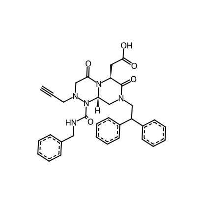 C#CCN1CC(=O)N2[C@@H](CC(=O)O)C(=O)N(CC(c3ccccc3)c3ccccc3)C[C@@H]2N1C(=O)NCc1ccccc1